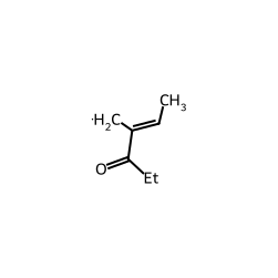 [CH2]C(=CC)C(=O)CC